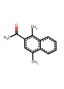 CC(=O)c1cc(C)c2ccccc2c1C